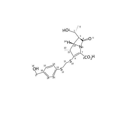 C[C@@H](O)[C@H]1C(=O)N2C(C(=O)O)=C(SCSc3ccc(CO)cc3)[C@H](C)[C@H]12